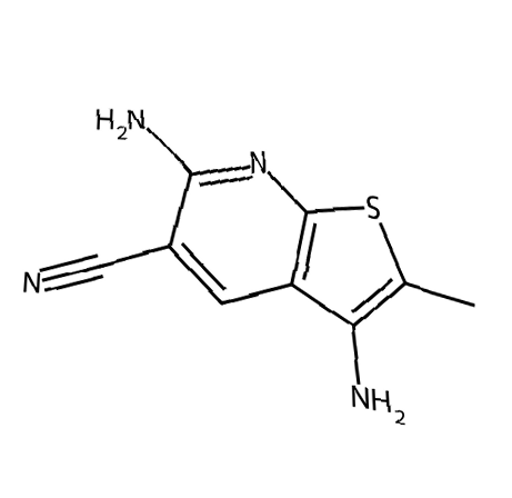 Cc1sc2nc(N)c(C#N)cc2c1N